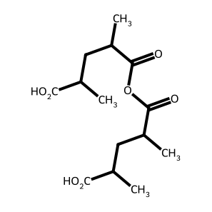 CC(CC(C)C(=O)OC(=O)C(C)CC(C)C(=O)O)C(=O)O